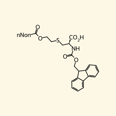 CCCCCCCCCC(=O)OCCSC[C@H](NC(=O)OCC1c2ccccc2-c2ccccc21)C(=O)O